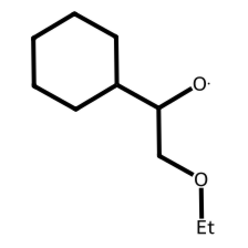 CCOCC([O])C1CCCCC1